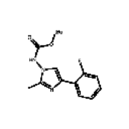 Cc1nc(-c2ccccc2F)cn1NC(=O)OC(C)(C)C